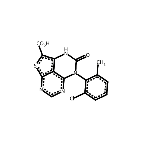 Cc1cccc(Cl)c1N1C(=O)Nc2c(C(=O)O)sc3ncnc1c23